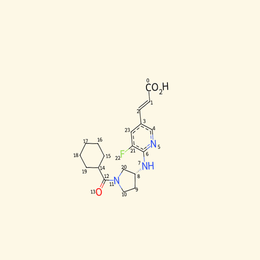 O=C(O)C=Cc1cnc(N[C@@H]2CCN(C(=O)C3CCCCC3)C2)c(F)c1